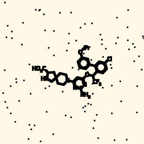 CC(C)Oc1cccc(-c2cc(Cl)ccc2C(Oc2cc(N3CCC4(CC3)CNC(C(=O)O)C4)nc(N)n2)C(F)(F)F)c1